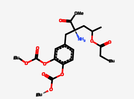 CCC(C)CC(=O)OC(C)C[C@@](N)(Cc1ccc(OC(=O)O[C@@H](C)CC)c(OC(=O)OC(C)CC)c1)C(=O)OC